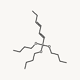 CCC=CC=C[Si](OCCCC)(OCCCC)OCCCC